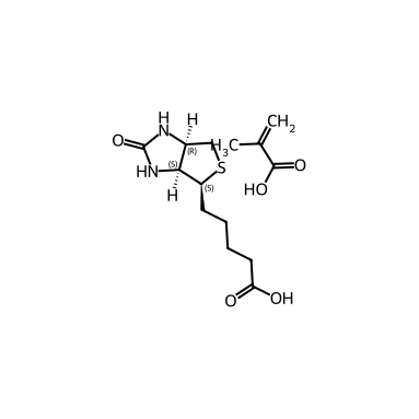 C=C(C)C(=O)O.O=C(O)CCCC[C@@H]1SC[C@@H]2NC(=O)N[C@@H]21